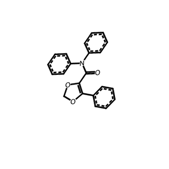 O=C(C1=C(c2ccccc2)OCO1)N(c1ccccc1)c1ccccc1